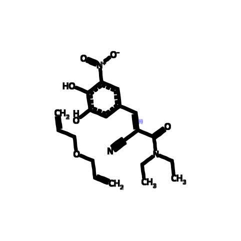 C=CCOCC=C.CCN(CC)C(=O)/C(C#N)=C/c1cc(O)c(O)c([N+](=O)[O-])c1